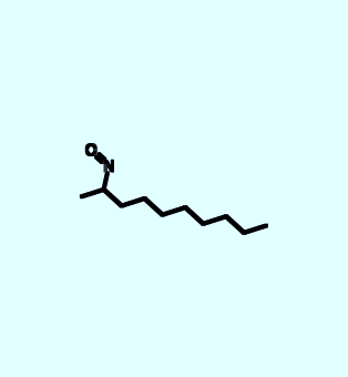 CCCCCCCCC(C)N=O